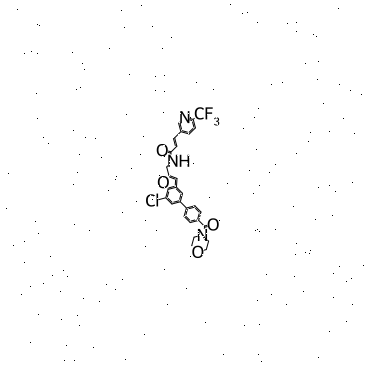 O=C(/C=C/c1ccc(C(F)(F)F)nc1)NCc1cc2cc(-c3ccc(C(=O)N4CCOCC4)cc3)cc(Cl)c2o1